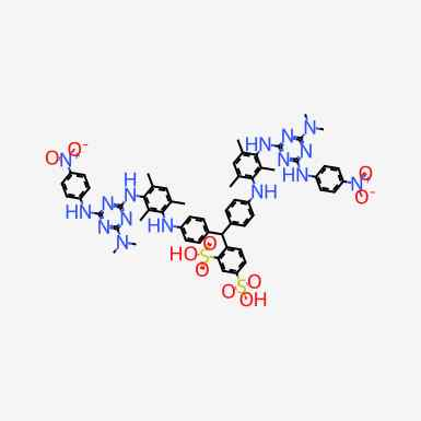 Cc1cc(C)c(Nc2nc(Nc3ccc([N+](=O)[O-])cc3)nc(N(C)C)n2)c(C)c1Nc1ccc(C(c2ccc(Nc3c(C)cc(C)c(Nc4nc(Nc5ccc([N+](=O)[O-])cc5)nc(N(C)C)n4)c3C)cc2)c2ccc(S(=O)(=O)O)cc2S(=O)(=O)O)cc1